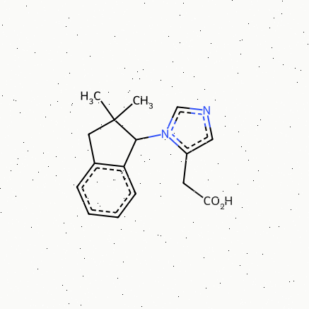 CC1(C)Cc2ccccc2C1n1cncc1CC(=O)O